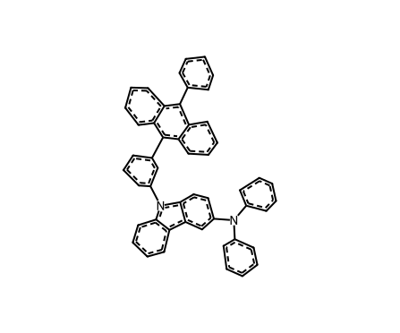 c1ccc(-c2c3ccccc3c(-c3cccc(-n4c5ccccc5c5cc(N(c6ccccc6)c6ccccc6)ccc54)c3)c3ccccc23)cc1